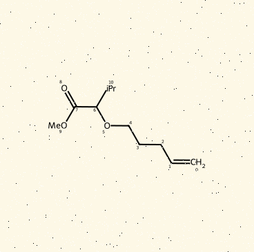 C=CCCCOC(C(=O)OC)C(C)C